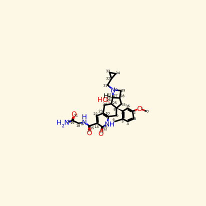 COc1ccc(C)c([C@@]23Cc4[nH]c(=O)c(C(=O)NCC(N)=O)cc4C[C@@]2(O)[C@H]2C(CN2CC2CC2)C3)c1